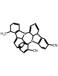 CC1CC=CC2=C1C1=CC=CCC1N2C1=CC=CC2c3cc(C#N)ccc3N(c3ccccc3C#N)C12